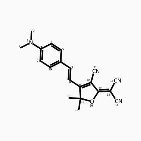 CN(C)c1ccc(/C=C/C2=C(C#N)C(=C(C#N)C#N)OC2(C)C)cc1